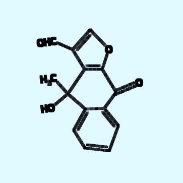 CC1(O)c2ccccc2C(=O)c2occ(C=O)c21